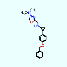 CN(C)N1COC(CNC2CC2c2ccc(OCc3ccccc3)cc2)=N1